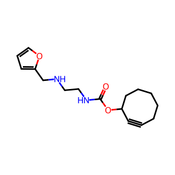 O=C(NCCNCc1ccco1)OC1C#CCCCCC1